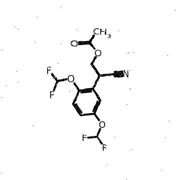 CC(=O)OCC(C#N)c1cc(OC(F)F)ccc1OC(F)F